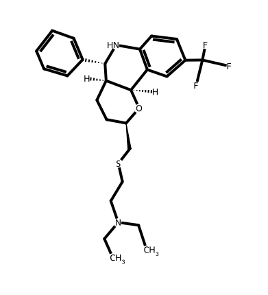 CCN(CC)CCSC[C@H]1CC[C@@H]2[C@H](O1)c1cc(C(F)(F)F)ccc1N[C@H]2c1ccccc1